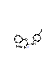 N#C/N=C(/Nc1ccc(I)cc1)Oc1ccccc1